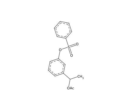 CC(=O)OC(C)c1cccc(OS(=O)(=O)c2ccccc2)c1